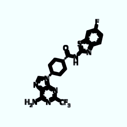 Nc1nc(C(F)(F)F)nc2c1ncn2[C@H]1CC[C@@H](C(=O)Nc2nc3ccc(F)cc3s2)CC1